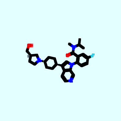 CC(C)N(C)C(=O)c1cc(F)ccc1-n1cc([C@H]2CC[C@@H](N3CC[C@@H](CO)C3)CC2)c2ccncc21